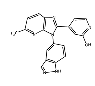 Oc1cc(-c2nc3ccc(C(F)(F)F)nc3n2-c2ccc3[nH]ncc3c2)ccn1